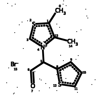 Cc1sc[n+](C(C=O)c2cccs2)c1C.[Br-]